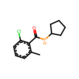 Cc1cccc(Cl)c1C(=O)PC1CCCC1